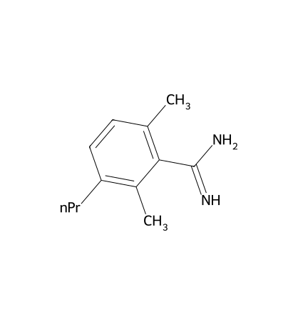 CCCc1ccc(C)c(C(=N)N)c1C